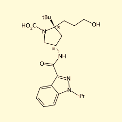 CC(C)n1nc(C(=O)N[C@@H]2CN(C(=O)O)[C@@](CCCO)(C(C)(C)C)C2)c2ccccc21